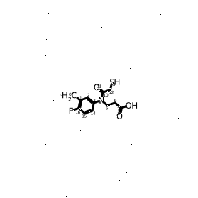 [CH2]c1cc(N(CCC(=O)O)C(=O)CS)ccc1F